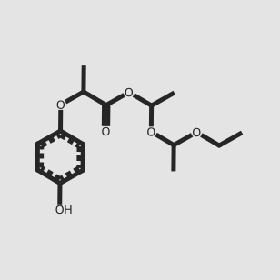 CCOC(C)OC(C)OC(=O)C(C)Oc1ccc(O)cc1